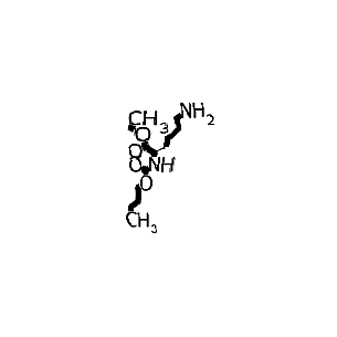 CCCCOC(=O)N[C@@H](CCCCN)C(=O)OCC